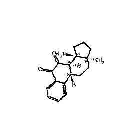 C=C1C(=O)c2c[c]ccc2[C@H]2CC[C@]3(C)CCC[C@H]3[C@H]12